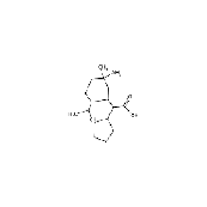 CC(C)C1CCC(C)(N)CC1C(C(=O)O)C1CCCC1